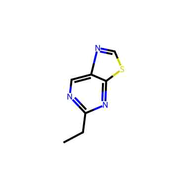 CCc1ncc2ncsc2n1